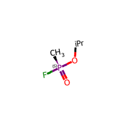 CC(C)O[P@](C)(=O)F